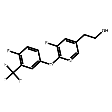 OCCc1cnc(Oc2ccc(F)c(C(F)(F)F)c2)c(F)c1